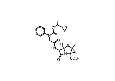 CC(OC(=O)N(CC(=O)NC1C(=O)N2[C@H]1SC1(C)CC21C(=O)O)c1ccccc1)C1CC1